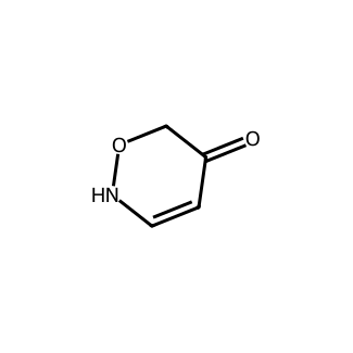 O=C1C=CNOC1